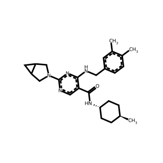 Cc1ccc(CNc2nc(N3CC4CC4C3)ncc2C(=O)N[C@H]2CC[C@H](C)CC2)cc1C